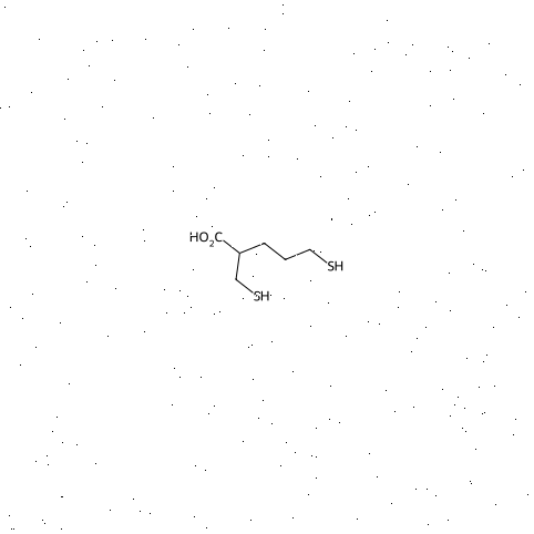 O=C(O)C(CS)CCCS